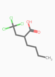 CCCCC(CC(Cl)(Cl)Cl)C(=O)O